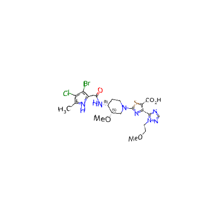 COCCn1ncnc1-c1nc(N2CC[C@@H](NC(=O)c3[nH]c(C)c(Cl)c3Br)[C@@H](OC)C2)sc1C(=O)O